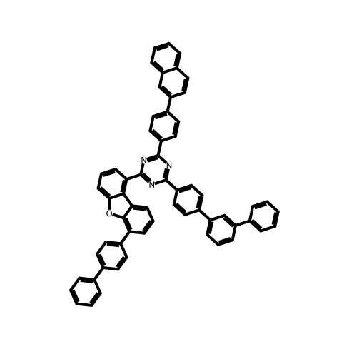 c1ccc(-c2ccc(-c3cccc4c3oc3cccc(-c5nc(-c6ccc(-c7cccc(-c8ccccc8)c7)cc6)nc(-c6ccc(-c7ccc8ccccc8c7)cc6)n5)c34)cc2)cc1